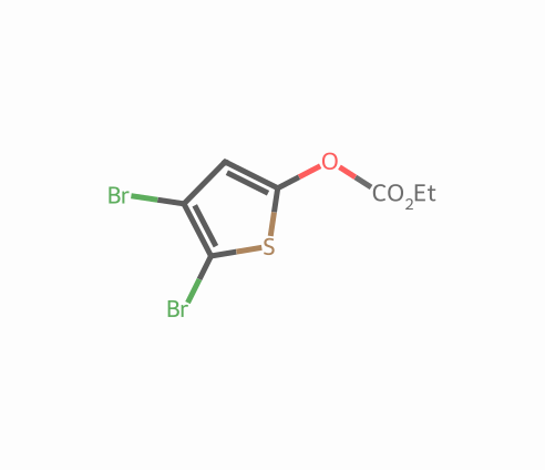 CCOC(=O)Oc1cc(Br)c(Br)s1